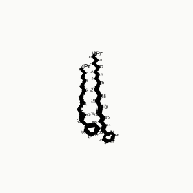 CC(C)CCCCCCCCCC=Cc1ccccc1.CC(C)CCCCCCCCCCCCCCCC=Cc1ccccc1